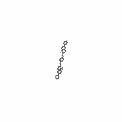 C1=CCC(c2ccc3nc(/C=C/c4ccc(/C=C/C5=CCC6C=C(c7ccccc7)C=CC6=N5)cc4)ccc3c2)C=C1